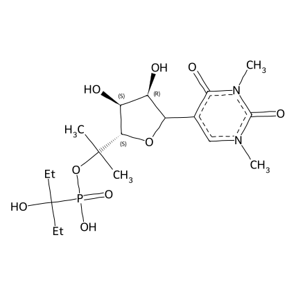 CCC(O)(CC)P(=O)(O)OC(C)(C)[C@H]1OC(c2cn(C)c(=O)n(C)c2=O)[C@H](O)[C@@H]1O